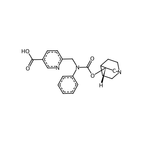 O=C(O)c1ccc(CN(C(=O)O[C@H]2CN3CCC2CC3)c2ccccc2)nc1